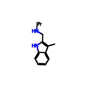 Cc1c(CNC(C)C)[nH]c2ccccc12